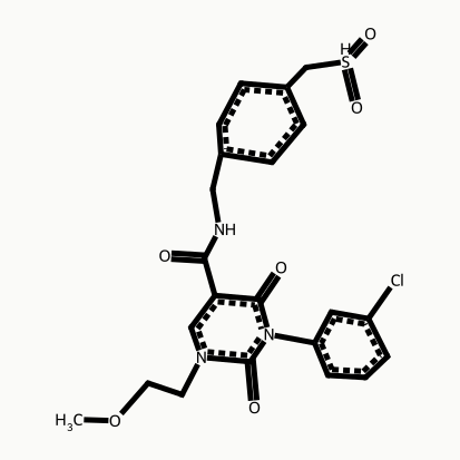 COCCn1cc(C(=O)NCc2ccc(C[SH](=O)=O)cc2)c(=O)n(-c2cccc(Cl)c2)c1=O